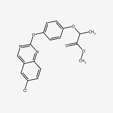 COC(=O)C(C)Oc1ccc(Oc2ncc3cc(Cl)ccc3n2)cc1